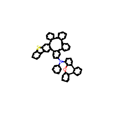 c1ccc(N(c2ccc3c(c2)c2ccccc2c2ccccc2c2ccccc2c2cc4sc5ccccc5c4cc32)c2cccc3c2Oc2ccccc2-c2ccccc2-3)cc1